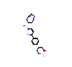 CN1CC[C@H](c2cc(O)c(-c3ccc(N(C)[C@H]4C[C@@H]5CC(F)(F)[C@H](C4)N5)nn3)cc2F)CC1=O